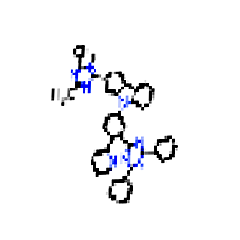 Cc1nc(C)nc(-c2ccc3c4ccccc4n(-c4ccc(-c5ccccn5)c(-c5nc(-c6ccccc6)nc(-c6ccccc6)n5)c4)c3c2)n1